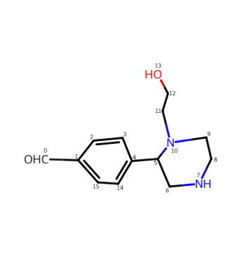 O=Cc1ccc(C2CNCCN2CCO)cc1